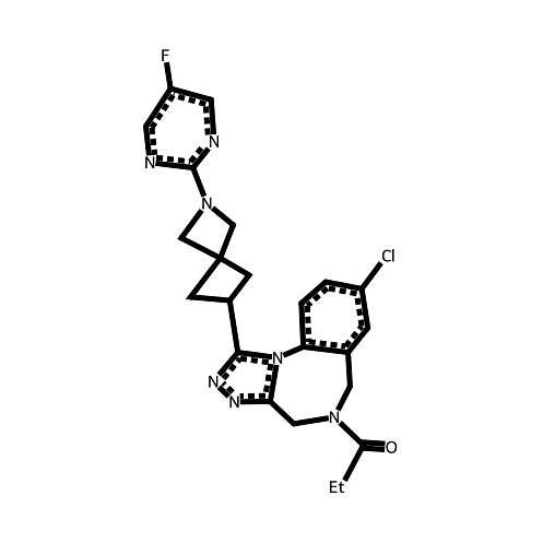 CCC(=O)N1Cc2cc(Cl)ccc2-n2c(nnc2C2CC3(C2)CN(c2ncc(F)cn2)C3)C1